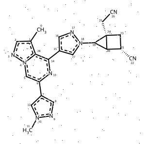 Cc1cnn2cc(-c3cnn(C)c3)nc(-c3cnn(C4C5[C@@H](C#N)C[C@@]54CC#N)c3)c12